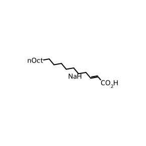 CCCCCCCCCCCCCCCC=CC(=O)O.[NaH]